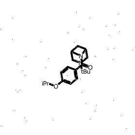 CC(C)Oc1ccc(C(=O)N2C3CC2CN(C(C)(C)C)C3)cc1